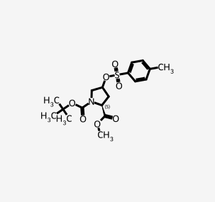 COC(=O)[C@@H]1CC(OS(=O)(=O)c2ccc(C)cc2)CN1C(=O)OC(C)(C)C